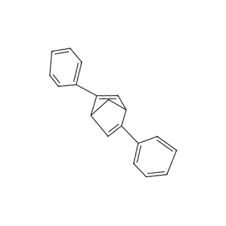 C1=C(c2ccccc2)C2C=C(c3ccccc3)C1C2